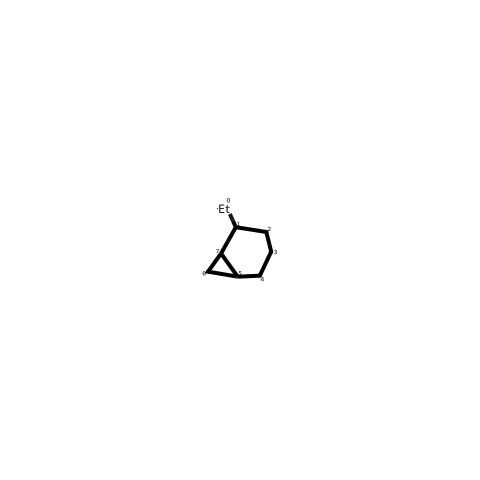 C[CH]C1CCCC2CC12